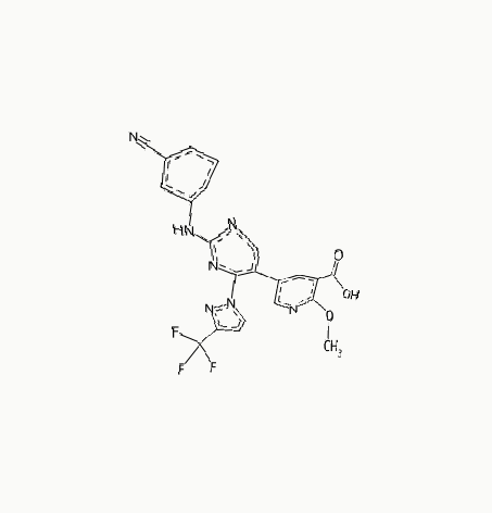 COc1ncc(-c2cnc(Nc3cccc(C#N)c3)nc2-n2ccc(C(F)(F)F)n2)cc1C(=O)O